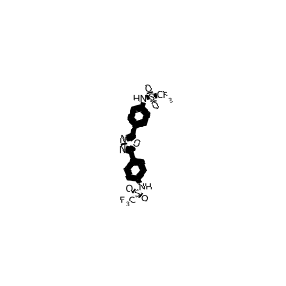 O=S(=O)(Nc1ccc(-c2nnc(-c3ccc(NS(=O)(=O)C(F)(F)F)cc3)o2)cc1)C(F)(F)F